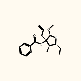 C=CC[C@]1(OC(=O)c2ccccc2)[C@@H](OC)O[C@H](CC)[C@H]1C